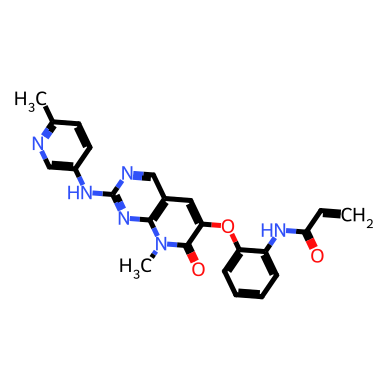 C=CC(=O)Nc1ccccc1Oc1cc2cnc(Nc3ccc(C)nc3)nc2n(C)c1=O